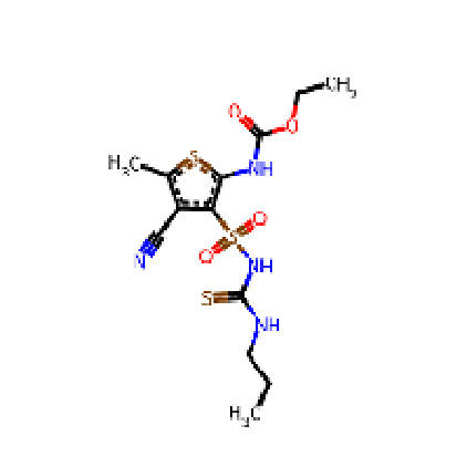 CCCNC(=S)NS(=O)(=O)c1c(NC(=O)OCC)sc(C)c1C#N